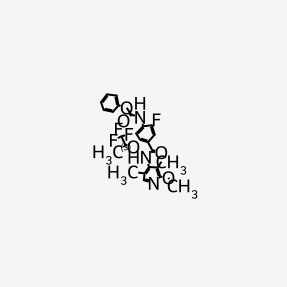 COc1ncc(C)c(NC(=O)c2cc(F)c(NC(=O)Oc3ccccc3)cc2O[C@@H](C)C(F)(F)F)c1C